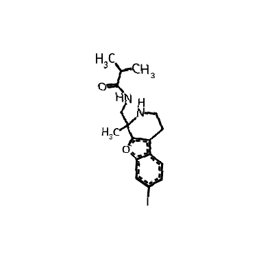 CC(C)C(=O)NCC1(C)NCCc2c1oc1cc(I)ccc21